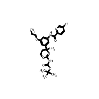 CCCOc1cc(NC(=O)c2ccc(Cl)cn2)cc(C2(C)CCSC(NC(=O)OC(C)(C)C)=N2)c1